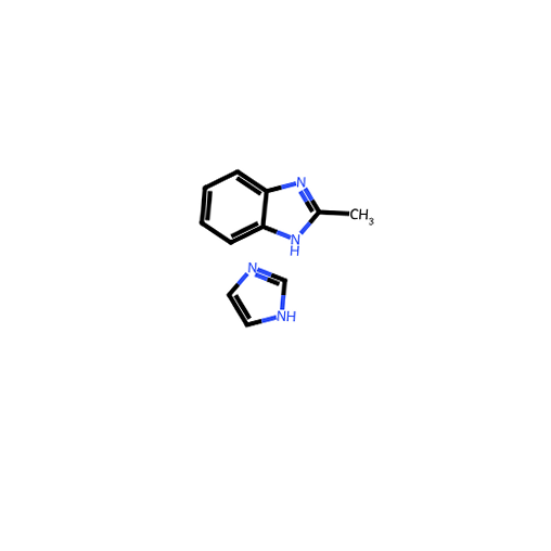 Cc1nc2ccccc2[nH]1.c1c[nH]cn1